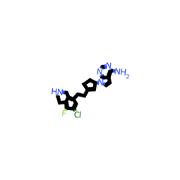 Nc1ncnc2c1ccn2C1C=C(CCc2cc(Cl)c(F)c3c2CNCC3)CC1